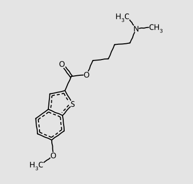 COc1ccc2cc(C(=O)OCCCCN(C)C)sc2c1